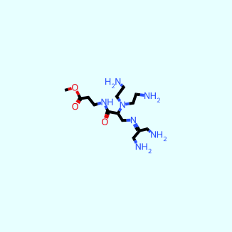 COC(=O)CCNC(=O)C(CN=C(CN)CN)N(CCN)CCN